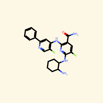 NC(=O)c1cc(F)c(NC2CCCCC2N)nc1Nc1cc(-c2ccccc2)ncc1F